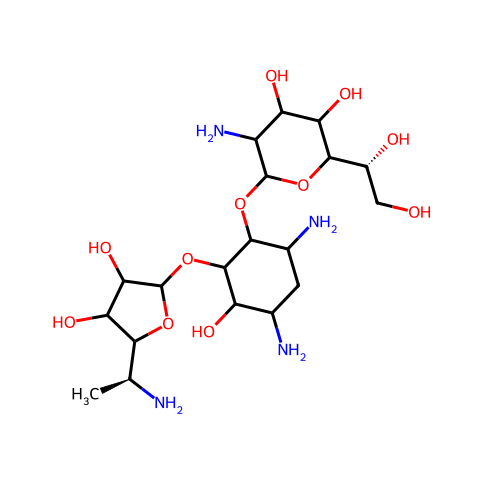 C[C@H](N)C1OC(OC2C(O)C(N)CC(N)C2OC2OC([C@H](O)CO)C(O)C(O)C2N)C(O)C1O